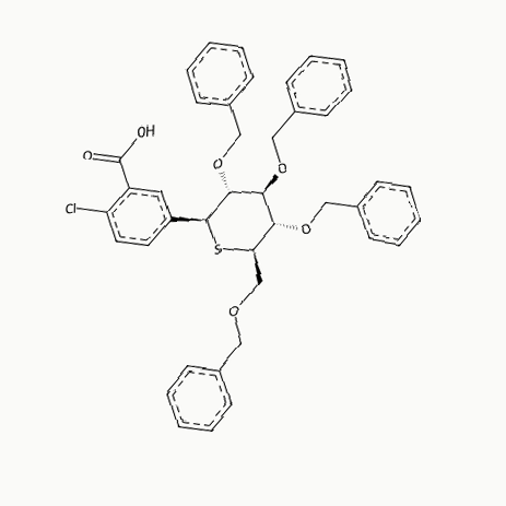 O=C(O)c1cc([C@@H]2S[C@H](COCc3ccccc3)[C@@H](OCc3ccccc3)[C@H](OCc3ccccc3)[C@H]2OCc2ccccc2)ccc1Cl